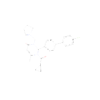 CC1=CC(=O)N(CN2CCCC2)C(c2ccc(-c3ccc(F)cc3)cc2)N1C(=O)C1CC1